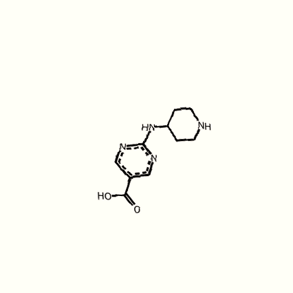 O=C(O)c1cnc(NC2CCNCC2)nc1